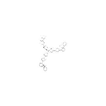 c1ccc2c(c1)oc1ccc(-c3ccc(N(c4ccc(-c5ccc(-c6cccc7c6oc6ccccc67)cc5)cc4)c4ccc(-c5ccc(-c6cccc7c6oc6ccccc67)cc5)cc4)cc3)cc12